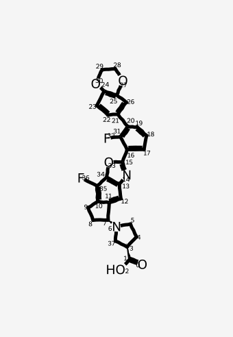 O=C(O)[C@@H]1CCN([C@@H]2CCc3c2cc2nc(-c4cccc(-c5ccc6c(c5)OCCO6)c4F)oc2c3F)C1